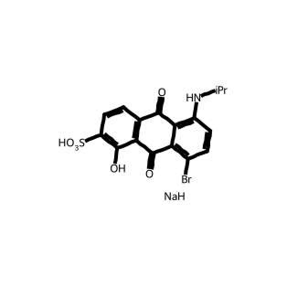 CC(C)Nc1ccc(Br)c2c1C(=O)c1ccc(S(=O)(=O)O)c(O)c1C2=O.[NaH]